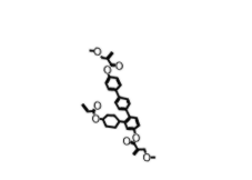 C=CC(=O)OC1CCC(c2cc(OC(=O)C(=C)COC)ccc2-c2ccc(-c3ccc(OC(=O)C(=C)COC)cc3)cc2)CC1